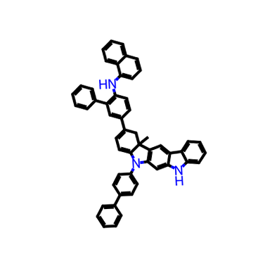 CC12CC(c3ccc(Nc4cccc5ccccc45)c(-c4ccccc4)c3)=CC=C1N(c1ccc(-c3ccccc3)cc1)c1cc3[nH]c4ccccc4c3cc12